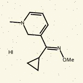 CON=C(C1=CC=CN(C)C1)C1CC1.I